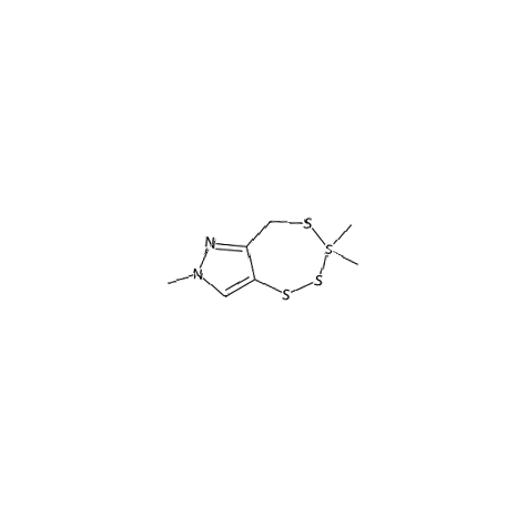 Cn1cc2c(n1)CSS(C)(C)SS2